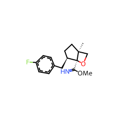 COC(=N)[C@@]12OC[C@]1(C)CC[C@@H]2Cc1ccc(F)cc1